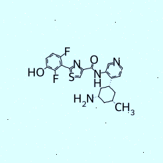 C[C@@H]1C[C@H](N)C[C@H](c2ccncc2NC(=O)c2csc(-c3c(F)ccc(O)c3F)n2)C1